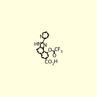 O=C(O)c1cc(OC(=O)C(F)(F)F)c2c(ccc3[nH]c(-c4ccccn4)nc32)c1